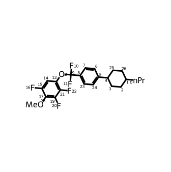 CCCC1CCC(c2ccc(C(F)(F)Oc3cc(F)c(OC)c(F)c3F)cc2)CC1